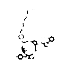 CCOC(=O)[C@H]1Cc2cc(ccc2OCc2ccnc(-c3ccccc3OC)n2)OC[C@@H](CN2CCN(CCOCCOCCOCCOC)CC2)Oc2ccc(c(C)c2Cl)-c2c(-c3ccc(F)cc3)sc3ncnc(c23)O1